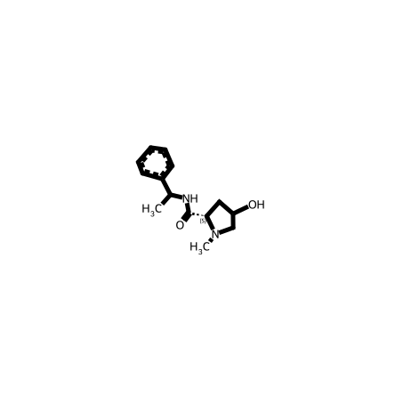 CC(NC(=O)[C@@H]1CC(O)CN1C)c1ccccc1